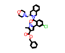 Cc1c(C(=O)OCc2ccccc2)cc(-c2cc(Cl)ccc2C(=O)N2Cc3ccccc3C[C@H]2CN2CCOCC2)n1C